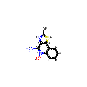 CCCc1nc2c(N)[n+]([O-])c3ccccc3c2s1